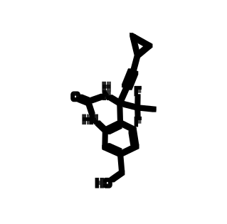 CC(F)(F)C1(C#CC2CC2)NC(=O)Nc2cc(CO)ccc21